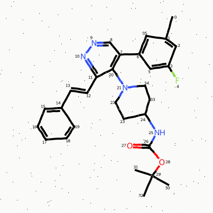 Cc1cc(F)cc(-c2cnnc(/C=C/c3ccccc3)c2N2CCC(NC(=O)OC(C)(C)C)CC2)c1